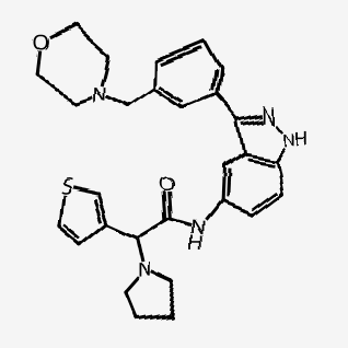 O=C(Nc1ccc2[nH]nc(-c3cccc(CN4CCOCC4)c3)c2c1)C(c1ccsc1)N1CCCC1